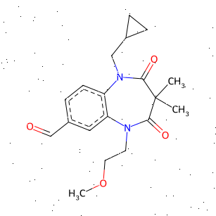 COCCN1C(=O)C(C)(C)C(=O)N(CC2CC2)c2ccc(C=O)cc21